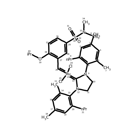 CCCc1cc(C)cc(C)c1N1CCN(c2c(C)cc(C)cc2CCC)[C]1=[Ru]([Cl])([Cl])=[CH]c1cc(S(=O)(=O)N(C)C)ccc1OC(C)C